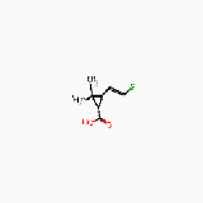 CC1(C)[C@H](C(=O)O)[C@@H]1/C=C/F